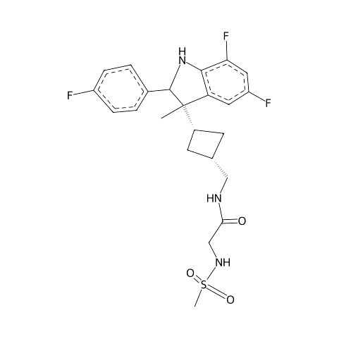 CC1([C@H]2C[C@@H](CNC(=O)CNS(C)(=O)=O)C2)c2cc(F)cc(F)c2NC1c1ccc(F)cc1